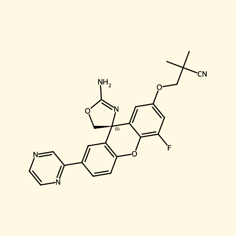 CC(C)(C#N)COc1cc(F)c2c(c1)[C@]1(COC(N)=N1)c1cc(-c3cnccn3)ccc1O2